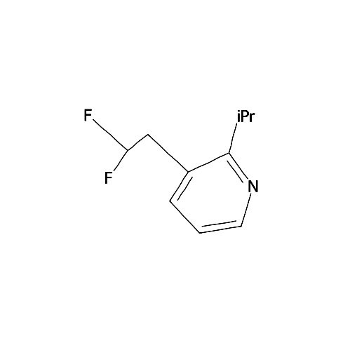 CC(C)c1ncccc1CC(F)F